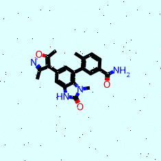 Cc1ccc(C(N)=O)cc1-c1cc(-c2c(C)noc2C)cc2[nH]c(=O)n(C)c12